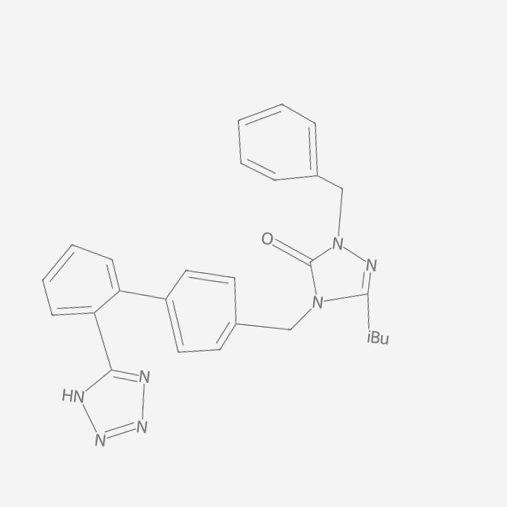 CCC(C)c1nn(Cc2ccccc2)c(=O)n1Cc1ccc(-c2ccccc2-c2nnn[nH]2)cc1